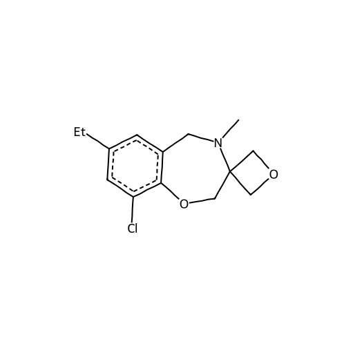 CCc1cc(Cl)c2c(c1)CN(C)C1(COC1)CO2